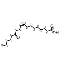 CCCCCC(=O)CC/C=C\CCCCCCCC(=O)O